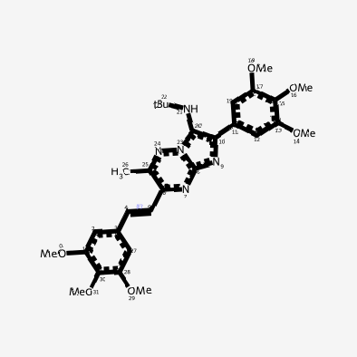 COc1cc(/C=C/c2nc3nc(-c4cc(OC)c(OC)c(OC)c4)c(NC(C)(C)C)n3nc2C)cc(OC)c1OC